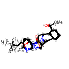 COC(=O)c1cccc2c1C1Cc3c(cnn3COCC[Si](C)(C)C)C2N1S(=O)(=O)c1ccc(C(F)(F)F)nc1